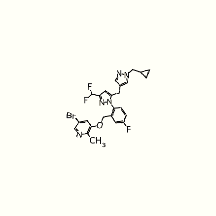 Cc1ncc(Br)cc1OCc1cc(F)ccc1-n1nc(C(F)F)cc1Cc1cnn(CC2CC2)c1